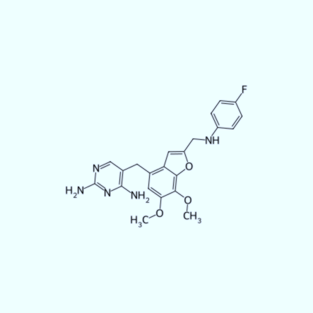 COc1cc(Cc2cnc(N)nc2N)c2cc(CNc3ccc(F)cc3)oc2c1OC